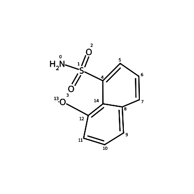 NS(=O)(=O)c1cccc2cccc([O])c12